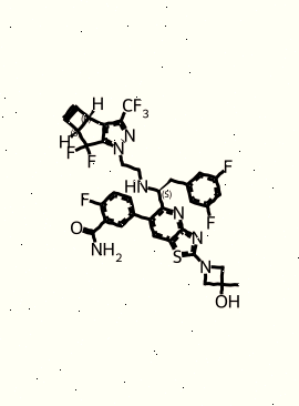 CC1(O)CN(c2nc3nc([C@H](Cc4cc(F)cc(F)c4)NCCn4nc(C(F)(F)F)c5c4C(F)(F)[C@@H]4C#C[C@H]54)c(-c4ccc(F)c(C(N)=O)c4)cc3s2)C1